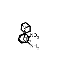 CN1CC2CC(C1)N2c1cccc(N)c1[N+](=O)[O-]